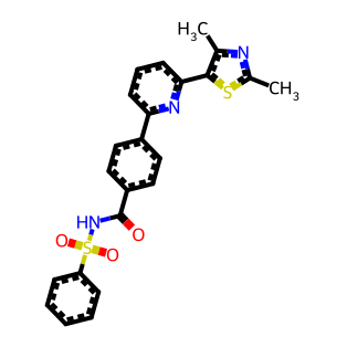 Cc1nc(C)c(-c2cccc(-c3ccc(C(=O)NS(=O)(=O)c4ccccc4)cc3)n2)s1